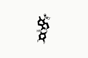 Cc1ccc2c(Nc3cc(F)c(F)cc3F)nccc2c1[N+](=O)[O-]